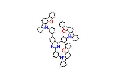 c1cc(-c2ccc3nc(-c4cccc(-n5c6ccccc6c6ccc7c8ccccc8oc7c65)c4)nc(-c4ccc(-n5c6ccccc6c6ccc7c8ccccc8oc7c65)cc4)c3c2)cc(-n2c3ccccc3c3ccc4c5ccccc5oc4c32)c1